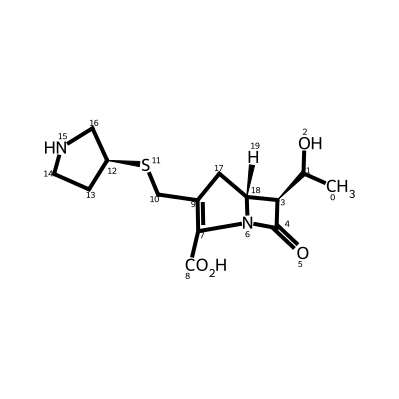 CC(O)[C@H]1C(=O)N2C(C(=O)O)=C(CS[C@H]3CCNC3)C[C@H]12